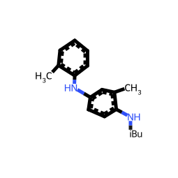 CCC(C)Nc1ccc(Nc2ccccc2C)cc1C